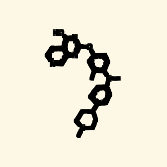 Cc1cc(Oc2nc(O)c3ccncc3n2)ccc1N(C)c1ccc(C2CCN(C)CC2)cc1